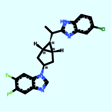 CC(c1nc2cc(Cl)ccc2[nH]1)[C@@H]1[C@@H]2C[C@@H](n3cnc4cc(F)c(F)cc43)C[C@@H]21